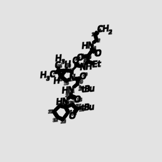 C=CCNC(=O)C(=O)C(CC)NC(=O)[C@@H]1[C@@H]2[C@H](CN1C(=O)[C@@H](NC(=O)NC1(CC(=O)C(C)(C)C)CCCCC1)C(C)(C)C)C2(C)C